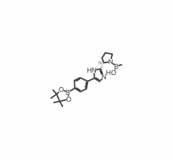 CB(O)N1CCC[C@H]1c1ncc(-c2ccc(B3OC(C)(C)C(C)(C)O3)cc2)[nH]1